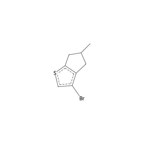 CC1Cc2scc(Br)c2C1